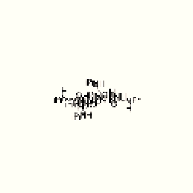 CC(C)NCCCCC(NC(C)C)C(=O)NCCCN(CCCCN(CCCNC(=O)C(CCCCNC(C)C)NC(C)C)C(=O)C(CCCCNC(C)C)NC(C)C)C(=O)C(CCCCNC(C)C)NC(C)C